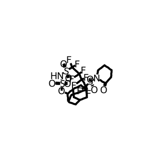 O=C1CCCCN1S(=O)(=O)C(F)(F)C(F)(F)C(F)(F)C(F)(F)S(=O)(=O)NS(=O)(=O)OC1C2CC3CC(C2)CC1C3